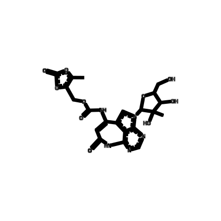 Cc1oc(=O)oc1COC(=O)NC1=CC(=O)Nc2ncnc3c2c1cn3C1OC(CO)C(O)C1(C)O